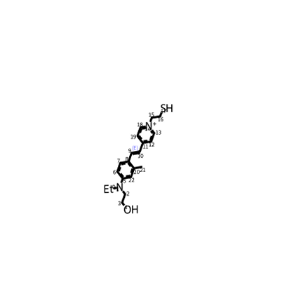 CCN(CCO)c1ccc(/C=C/c2cc[n+](CCS)cc2)c(C)c1